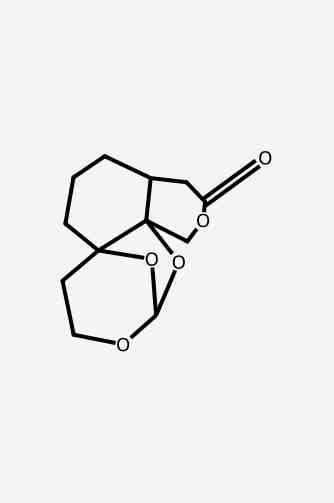 O=C1CC2CCCC34CCOC(O3)OC24CO1